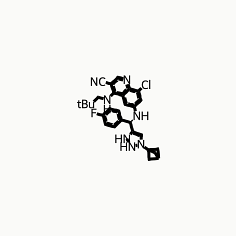 CC(C)(C)CNc1c(C#N)cnc2c(Cl)cc(N[C@H](C3=CN(C45CC(C4)C5)NN3)c3ccc(F)cc3)cc12